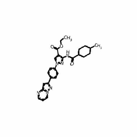 CCOC(=O)c1cn(-c2ccc(-c3cc4ncccn4n3)cc2)nc1NC(=O)C1CCC(C)CC1